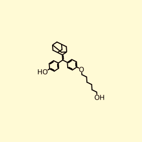 OCCCCCCOc1ccc(C(=C2C3CC4CC(C3)CC2C4)c2ccc(O)cc2)cc1